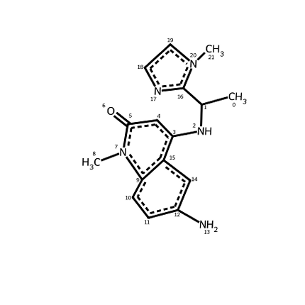 CC(Nc1cc(=O)n(C)c2ccc(N)cc12)c1nccn1C